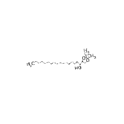 CCCCCCCCCCCCCCCCC(O)C1COC(C)(C)O1